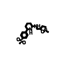 CN1CCC(CNC2CCCC(c3ccc(S(C)(=O)=O)cc3)N2)O1